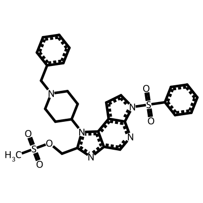 CS(=O)(=O)OCc1nc2cnc3c(ccn3S(=O)(=O)c3ccccc3)c2n1C1CCN(Cc2ccccc2)CC1